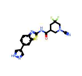 N#CN1CC(C(=O)Nc2nc3ccc(-c4cn[nH]c4)cc3s2)CC(F)(F)C1